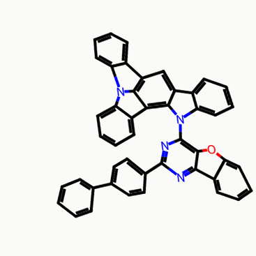 c1ccc(-c2ccc(-c3nc(-n4c5ccccc5c5cc6c7ccccc7n7c8ccccc8c(c54)c67)c4oc5ccccc5c4n3)cc2)cc1